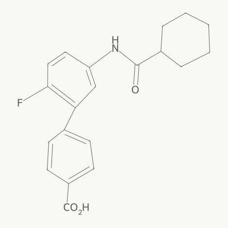 O=C(O)c1ccc(-c2cc(NC(=O)C3CCCCC3)ccc2F)cc1